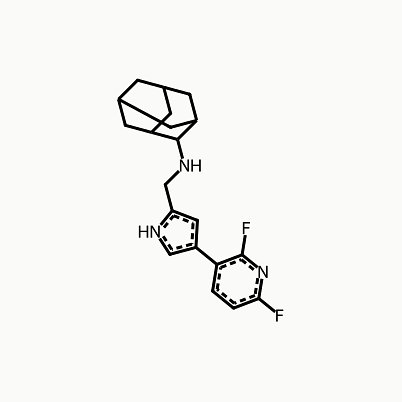 Fc1ccc(-c2c[nH]c(CNC3C4CC5CC(C4)CC3C5)c2)c(F)n1